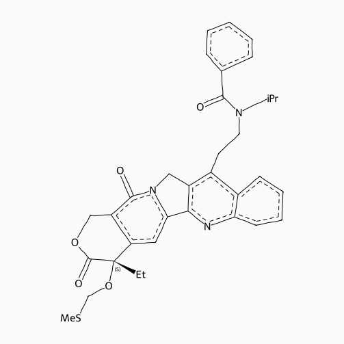 CC[C@@]1(OCSC)C(=O)OCc2c1cc1n(c2=O)Cc2c-1nc1ccccc1c2CCN(C(=O)c1ccccc1)C(C)C